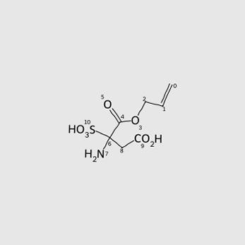 C=CCOC(=O)C(N)(CC(=O)O)S(=O)(=O)O